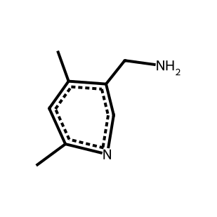 Cc1cc(C)c(CN)cn1